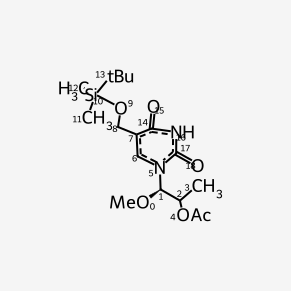 CO[C@H](C(C)OC(C)=O)n1cc(CO[Si](C)(C)C(C)(C)C)c(=O)[nH]c1=O